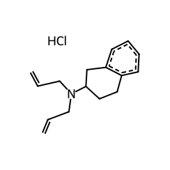 C=CCN(CC=C)C1CCc2ccccc2C1.Cl